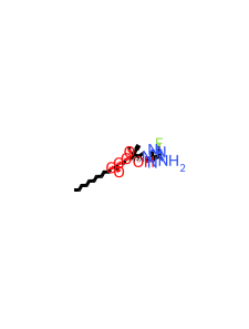 C#CC(COCOC(=O)OCCCCCCCCCC)(OC)[C@@H](O)Cn1cnc2c(N)nc(F)nc21